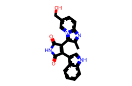 Cc1nc2ccc(CO)cn2c1C1=C(c2c[nH]c3ccccc23)C(=O)NC1=O